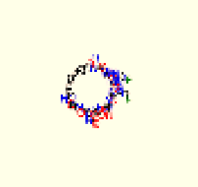 COc1ccc(C[C@@H]2NC(=O)[C@H]([C@@H](C)O)NC(=O)[C@@H]3CCCN3C(=O)[C@H](Cc3c[nH]c4ccc(F)cc34)NC(=O)[C@H](Cc3c[nH]c4ccc(F)cc34)NC(=O)[C@@H](C)NC(=O)[C@H](C)NC(=O)CCCCc3cccc(c3)CCCCNC(=O)[C@@H]3CCCN3C2=O)cc1